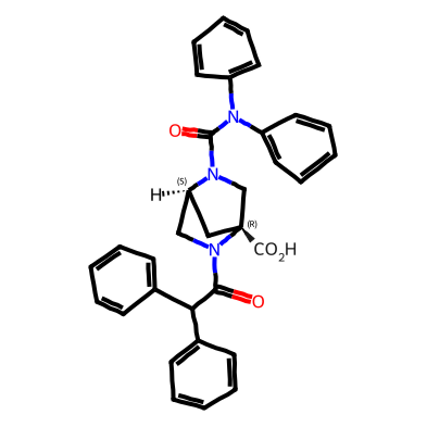 O=C(N(c1ccccc1)c1ccccc1)N1C[C@@]2(C(=O)O)C[C@H]1CN2C(=O)C(c1ccccc1)c1ccccc1